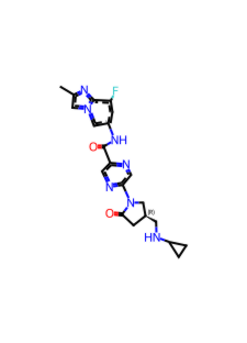 Cc1cn2cc(NC(=O)c3cnc(N4C[C@@H](CNC5CC5)CC4=O)cn3)cc(F)c2n1